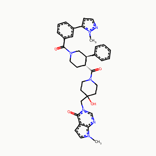 Cn1nccc1-c1cccc(C(=O)N2CC[C@@H](C(=O)N3CCC(O)(Cn4cnc5c(ccn5C)c4=O)CC3)[C@H](c3ccccc3)C2)c1